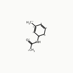 CC(=O)NC1C=C(C)C=CC1